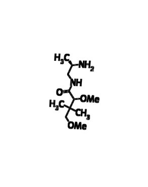 COCC(C)(C)C(OC)C(=O)NC[C@@H](C)N